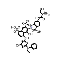 BCC(B)C(=O)Nc1ccc(S(=O)O)c(/N=N/c2c(S(=O)(=O)O)cc3c(S(=O)(=O)O)ccc(Nc4nc(Cl)nc(N(CC)c5ccccc5)n4)c3c2O)c1